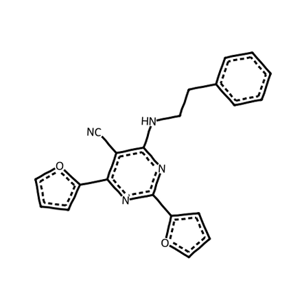 N#Cc1c(NCCc2ccccc2)nc(-c2ccco2)nc1-c1ccco1